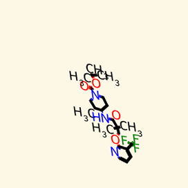 C[C@H]1CN(C(=O)OC(C)(C)C)CC[C@@H]1NC(=O)C(C)(C)COc1ncccc1C(F)(F)F